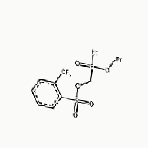 CCP(=O)(COS(=O)(=O)c1ccccc1C(F)(F)F)OC(C)C